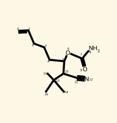 C=CCCCC(OC(N)=O)C(C#N)C(C)(C)C